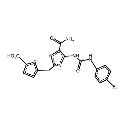 CCc1ccc(NC(=O)Nc2[nH]c(Cc3ccc(C(=O)O)s3)nc2C(N)=O)cc1